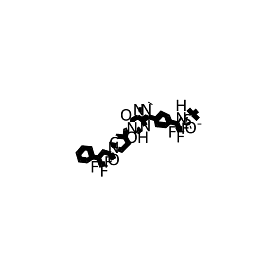 Cn1nc2c(=O)n(CC3(O)CCN(C(=O)CC(c4ccccc4)C(F)(F)F)CC3)cnc2c1-c1ccc([C@@H](N[S@@+]([O-])C(C)(C)C)C(F)(F)F)cc1